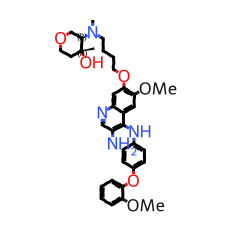 COc1cc2c(Nc3ccc(Oc4ccccc4OC)cc3)c(N)cnc2cc1OCCCCN(C)[C@@H]1COCC[C@@]1(C)O